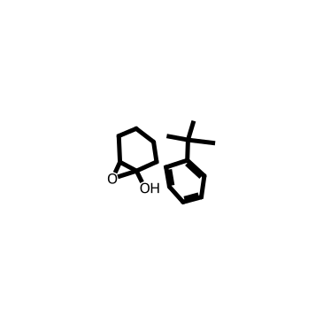 CC(C)(C)c1ccccc1.OC12CCCCC1O2